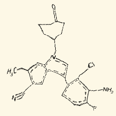 Cc1cc2c(cc1C#N)c(-c1ccc(F)c(N)c1Cl)cn2C1CCC(=O)CC1